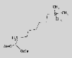 COC(OC)[SiH2]CCCCCC[Si](C)(C)C